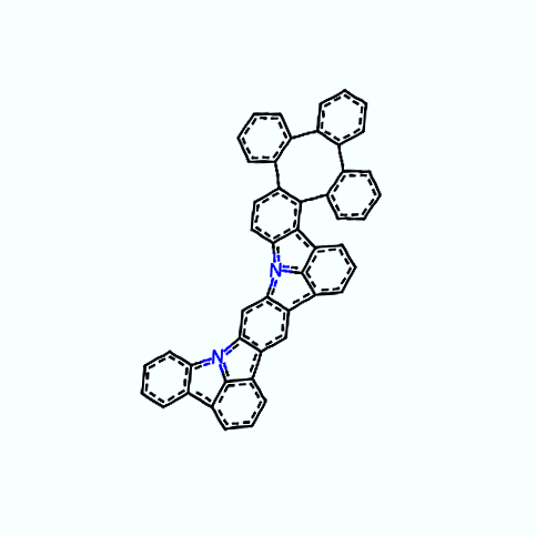 c1ccc2c(c1)-c1ccccc1-c1ccc3c(c1-c1ccccc1-2)c1cccc2c4cc5c6cccc7c8ccccc8n(c5cc4n3c21)c76